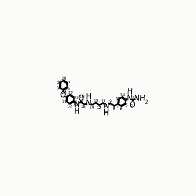 NC(=O)Nc1ccc(CCNCCCCNCC(=O)Nc2ccc(Oc3ccccc3)cc2)cc1